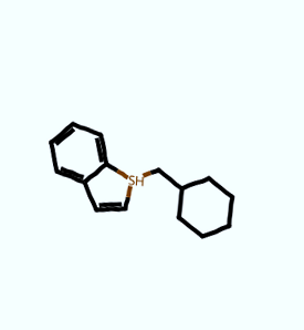 C1=C[SH](CC2CCCCC2)c2ccccc21